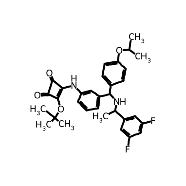 CC(C)Oc1ccc(C(NC(C)c2cc(F)cc(F)c2)c2cccc(Nc3c(OC(C)(C)C)c(=O)c3=O)c2)cc1